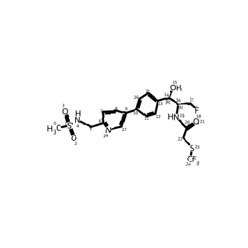 CS(=O)(=O)NCc1ccc(-c2ccc([C@@H](O)[C@@H](CF)NC(=O)CSC(F)(F)F)cc2)cn1